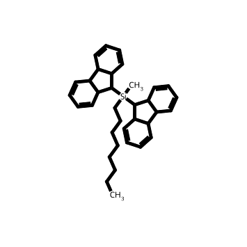 CCCCCCCC[Si](C)(C1C2C=CC=CC2C2C=CC=CC21)C1C2C=CC=CC2C2C=CC=CC21